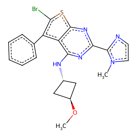 CO[C@H]1C[C@H](Nc2nc(-c3nccn3C)nc3sc(Br)c(-c4ccccc4)c23)C1